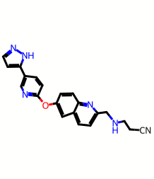 N#CCCNCc1ccc2cc(Oc3ccc(-c4ccn[nH]4)cn3)ccc2n1